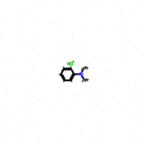 CCCN(CCC)c1ccccc1.Cl